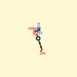 CC1([C@H](NC(=O)c2ccc(C#CC#CCCO)cc2)C(=O)NO)CNC1